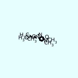 CC(=O)N(C)c1ccc2c(c1)ncn2COCC[Si](C)(C)C